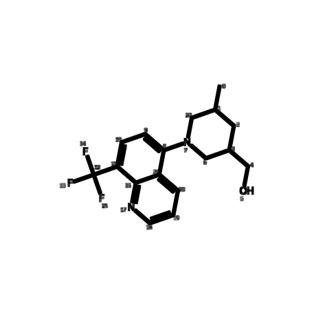 CC1CC(CO)CN(c2ccc(C(F)(F)F)c3ncccc23)C1